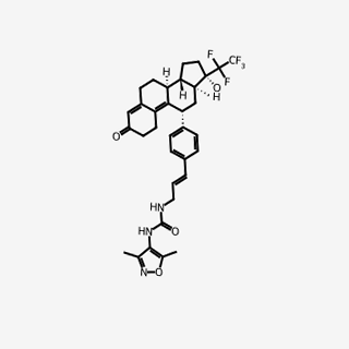 Cc1noc(C)c1NC(=O)NCC=Cc1ccc([C@H]2C[C@@]3(C)[C@@H](CC[C@@]3(O)C(F)(F)C(F)(F)F)[C@@H]3CCC4=CC(=O)CCC4=C32)cc1